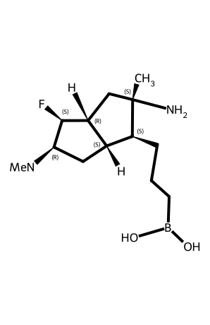 CN[C@@H]1C[C@@H]2[C@@H](C[C@](C)(N)[C@H]2CCCB(O)O)[C@@H]1F